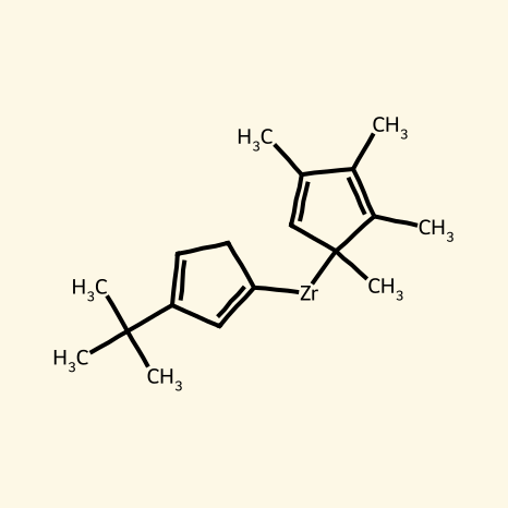 CC1=C[C](C)([Zr][C]2=CC(C(C)(C)C)=CC2)C(C)=C1C